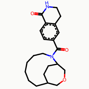 O=C1NCCc2cc(C(=O)N3CCCCCCC4CCC3COC4)ccc21